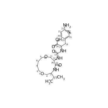 CC(C)C1COCCCCOC[C@@H](NC(=O)NC(Cc2ccc(N)nc2)C(=O)O)C(=O)N1